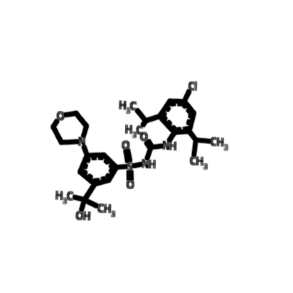 CC(C)c1cc(Cl)cc(C(C)C)c1NC(=O)NS(=O)(=O)c1cc(N2CCOCC2)cc(C(C)(C)O)c1